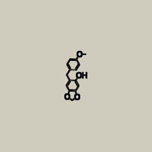 COc1ccc(Cc2cc3c(cc2O)OCO3)cc1